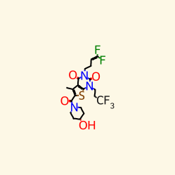 Cc1c(C(=O)N2CCC(O)CC2)sc2c1c(=O)n(CCC=C(F)F)c(=O)n2CCC(F)(F)F